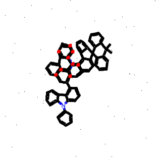 CC1(C)c2ccccc2C2(c3ccccc3-c3c(N(c4cccc(-c5cccc6c5c5ccccc5n6-c5ccccc5)c4)c4ccccc4-c4ccccc4-c4ccccc4-c4ccccc4)cccc32)c2ccccc21